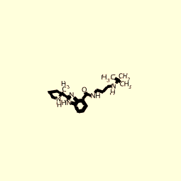 CC(C)(C)NCCCNC(=O)c1cccc2[nH]c([C@@]3(C)CCCN3)nc12